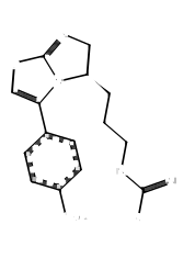 COc1ccc(C2=CSC3=NC[C@@H](CCCNC(=N)N)N23)cc1